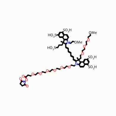 COCCOCCOCCOCCC1(C)\C(=C/C=C/C=C/C=C/C2=[N+](CCOC)c3ccc4c(S(=O)(=O)O)cc(S(=O)(=O)O)cc4c3C2(C)CCCS(=O)(=O)O)N(CCOCCOCCOCCOCCOCCOCCC(=O)ON2C(=O)CCC2=O)c2ccc3c(S(=O)(=O)O)cc(S(=O)(=O)O)cc3c21